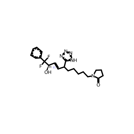 O=C1CCCN1CCCCCC(/C=C/[C@@H](O)C(F)(F)c1ccccc1)c1nnn[nH]1